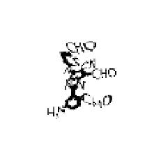 N#CC1=C(C=O)c2nc(-c3cc(N)ccc3C=O)nn2/C1=N/c1ccc(C=O)s1